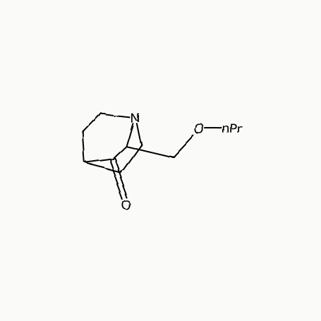 CCCOCC1C(=O)C2CCN1CC2